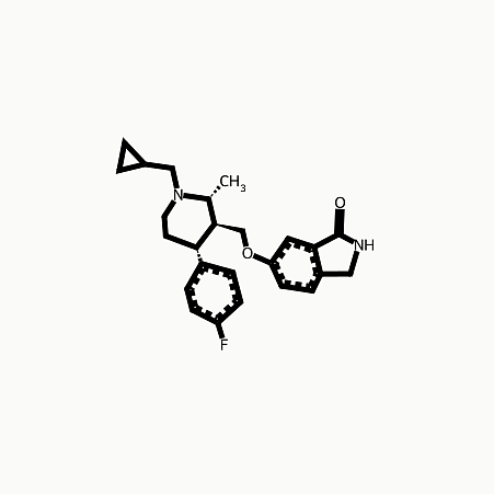 C[C@@H]1[C@@H](COc2ccc3c(c2)C(=O)NC3)[C@H](c2ccc(F)cc2)CCN1CC1CC1